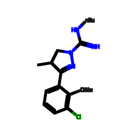 CCCCNC(=N)N1CC(C)C(c2cccc(Cl)c2OC)=N1